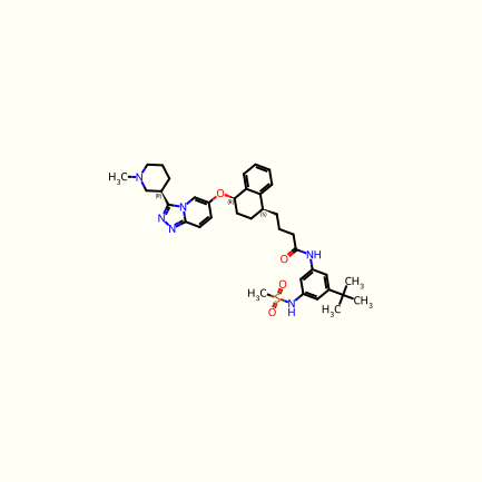 CN1CCC[C@@H](c2nnc3ccc(O[C@@H]4CC[C@H](CCCC(=O)Nc5cc(NS(C)(=O)=O)cc(C(C)(C)C)c5)c5ccccc54)cn23)C1